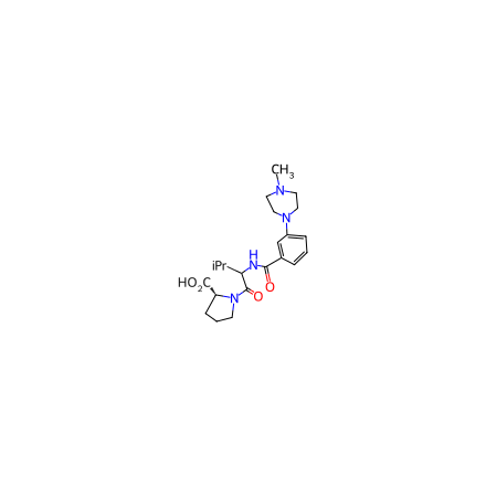 CC(C)C(NC(=O)c1cccc(N2CCN(C)CC2)c1)C(=O)N1CCC[C@H]1C(=O)O